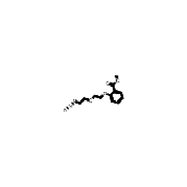 COC(=O)c1ccccc1OCCOCCN=[N+]=[N-]